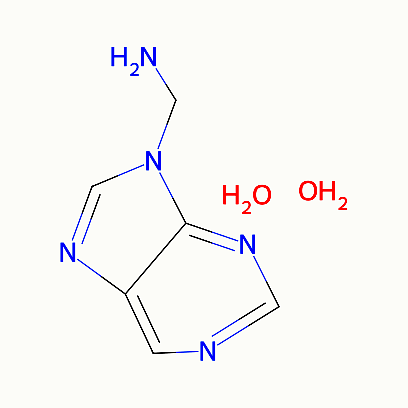 NCn1cnc2cncnc21.O.O